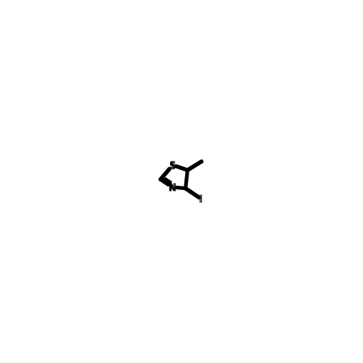 CC1SC=NC1I